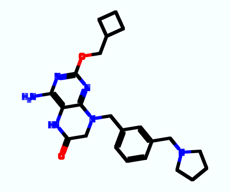 Nc1nc(OCC2CCC2)nc2c1NC(=O)CN2Cc1cccc(CN2CCCC2)c1